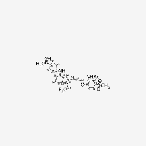 CC(=O)Nc1cc(S(C)(=O)=O)ccc1OCC#Cc1cc2c(NC3CCC(N(C)C)CC3)cccc2n1CC(F)(F)F